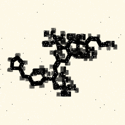 C=C/C=C\C(C)C(O)(NC(=O)O)C(C)C(O[Si](C)(C)C(C)(C)C)[C@@H](C)C/C(C)=C\[C@H](C)[C@@H](O[Si](C)(C)C(C)(C)C)[C@@H](C)/C=C\[C@@H](O)CC1CCCC1